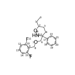 CCC1CCC(COCc2c(F)cccc2F)(c2ccccc2)NO1